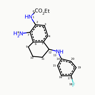 CCOC(=O)Nc1ccc2c(c1N)CCCC2Nc1ccc(F)cc1